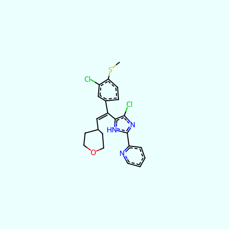 CSc1ccc(C(=CC2CCOCC2)c2[nH]c(-c3ccccn3)nc2Cl)cc1Cl